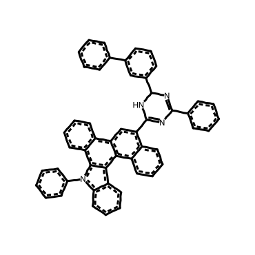 c1ccc(C2=NC(c3cccc(-c4ccccc4)c3)NC(c3cc4c5ccccc5c5c(c6ccccc6n5-c5ccccc5)c4c4ccccc34)=N2)cc1